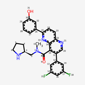 CN(C[C@@H]1CCCN1)C(=O)c1c(-c2cc(F)cc(F)c2)cnc2ccc(-c3cccc(O)c3)nc12